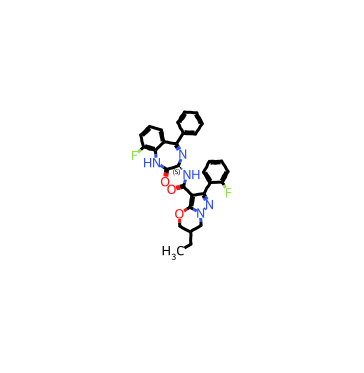 CCC1COc2c(C(=O)N[C@H]3N=C(c4ccccc4)c4cccc(F)c4NC3=O)c(-c3ccccc3F)nn2C1